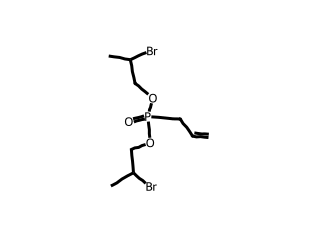 C=CCP(=O)(OCC(C)Br)OCC(C)Br